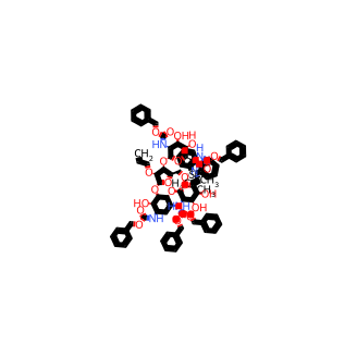 C=CCO[C@H]1[C@H](O[C@@H]2[C@@H](O)[C@H](NC(=O)OCc3ccccc3)C[C@H](NC(=O)OCc3ccccc3)[C@H]2O[C@H]2O[C@H](CN=[N+]=[N-])[C@@H](O)[C@H](O)[C@H]2NC(=O)OCc2ccccc2)O[C@H](CO[Si](c2ccccc2)(c2ccccc2)C(C)(C)C)[C@H]1O[C@H]1O[C@@H](CNC(=O)OCc2ccccc2)[C@@H](O)[C@H](O)[C@H]1NC(=O)OCc1ccccc1